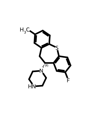 Cc1ccc2c(c1)C[C@@H](N1CCNCC1)c1cc(F)ccc1S2